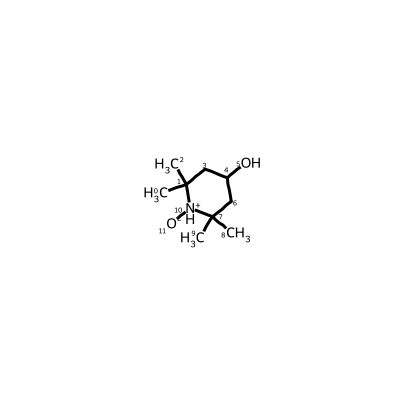 CC1(C)CC(O)CC(C)(C)[NH+]1[O-]